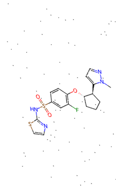 Cn1nccc1[C@H]1CCC[C@@H]1Oc1ccc(S(=O)(=O)Nc2nccs2)cc1F